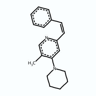 Cc1cnc(/C=C\c2ccccc2)cc1N1CCCCC1